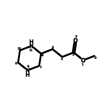 COC(=O)CCC1CNCCN1